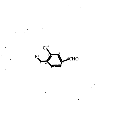 O=Cc1ccc(CF)c(Cl)c1